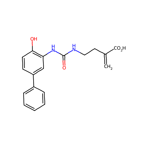 C=C(CCNC(=O)Nc1cc(-c2ccccc2)ccc1O)C(=O)O